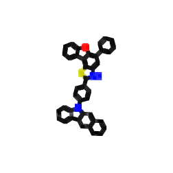 C1=c2ccccc2=CC2C1c1ccccc1N2c1ccc(C2Nc3cc(-c4ccccc4)c4oc5ccccc5c4c3S2)cc1